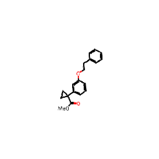 COC(=O)C1(c2cccc(OCCc3ccccc3)c2)CC1